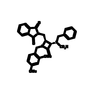 COc1ccc(CN2C(=O)[C@@H](N(Cc3ccccc3)C(=O)O)[C@@H]2CN2C(=O)c3ccccc3C2=O)c(OC)c1